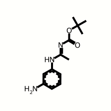 C/C(=N\C(=O)OC(C)(C)C)Nc1cccc(N)c1